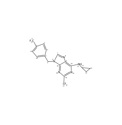 FC(F)(F)c1ccc(Cn2cnc3c(NC4CC4)nc(C(F)(F)F)nc32)cc1